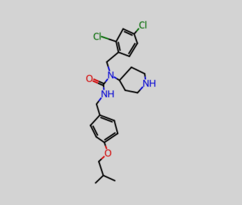 CC(C)COc1ccc(CNC(=O)N(Cc2ccc(Cl)cc2Cl)C2CCNCC2)cc1